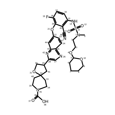 CN(CCOC1CCCCO1)S(=O)(=O)Nc1ccc(F)c(Oc2ccc3ncc(C4COC5(CCN(C(=O)O)CC5)C4)nc3c2)c1C#N